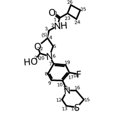 O=C(NC[C@H]1CN(c2ccc(N3CCSCC3)c(F)c2)C(O)O1)C1CCC1